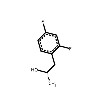 C[C@H](O)Cc1ccc(F)cc1F